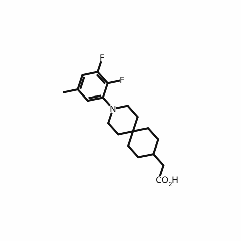 Cc1cc(F)c(F)c(N2CCC3(CCC(CC(=O)O)CC3)CC2)c1